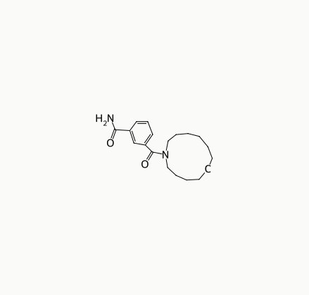 NC(=O)c1cccc(C(=O)N2CCCCCCCCCCC2)c1